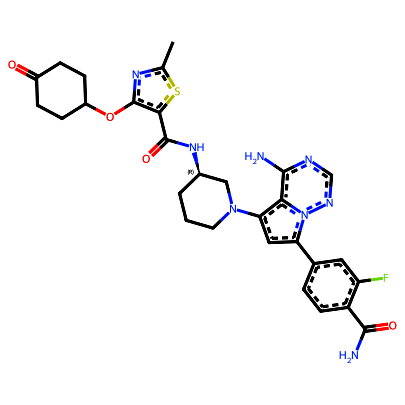 Cc1nc(OC2CCC(=O)CC2)c(C(=O)N[C@@H]2CCCN(c3cc(-c4ccc(C(N)=O)c(F)c4)n4ncnc(N)c34)C2)s1